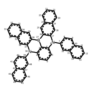 c1cc2c3c(c1)N(c1ccc4ccccc4c1)c1cc4ccccc4cc1B3c1cc3ccccc3cc1N2c1ccc2ccccc2c1